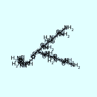 N=C(NCCCCc1ccc(OCCN(CCCNC(=O)[C@@H](N)CCCCNC(=O)[C@@H](N)CCCCNC(=O)[C@@H](N)CCCCN)CCCNC(=O)[C@@H](N)CCCCNC(=O)[C@@H](N)CCCCNC(=O)[C@@H](N)CCCCN)cc1)NC(=O)c1nc(Cl)c(N)nc1N